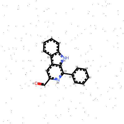 O=Cc1cc2c([nH]c3ccccc32)c(-c2ccccc2)n1